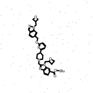 CC(C)(C)OC(=O)c1ccc2nc(CN3CCC(c4cccc(OCc5ccc6cnn(CC7COC7)c6c5)n4)CC3)n(CC3CCO3)c2c1